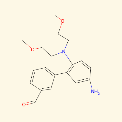 COCCN(CCOC)c1ccc(N)cc1-c1cccc(C=O)c1